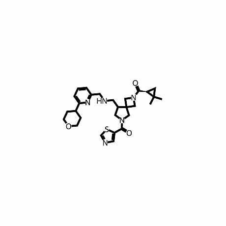 CC1(C)C[C@@H]1C(=O)N1CC2(CN(C(=O)c3cncs3)CC2CNCc2cccc(C3CCOCC3)n2)C1